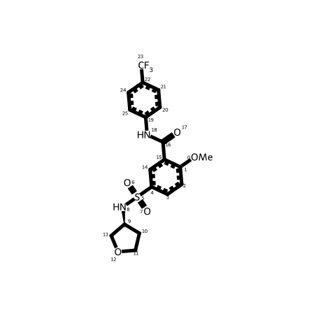 COc1ccc(S(=O)(=O)N[C@H]2CCOC2)cc1C(=O)Nc1ccc(C(F)(F)F)cc1